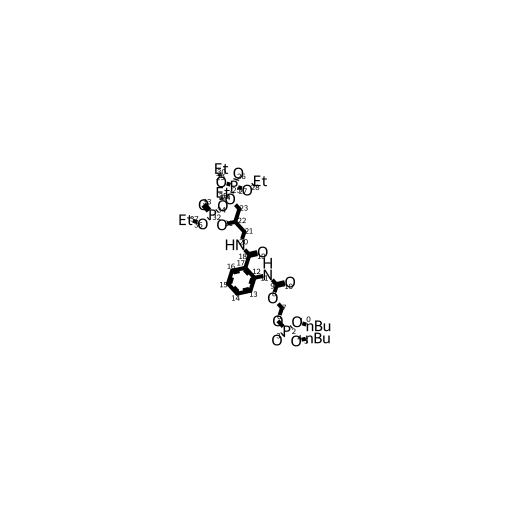 CCCCOP(=O)(OCCCC)OCOC(=O)Nc1ccccc1C(=O)NCC(COP(=O)(OCC)OCC)OP(=O)(OCC)OCC